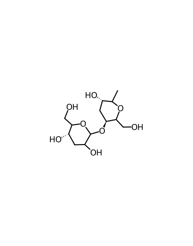 CC1OC(CO)[C@@H](OC2OC(CO)[C@@H](O)CC2O)C[C@@H]1O